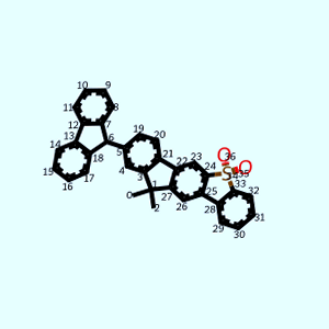 CC1(C)c2cc(C3c4ccccc4-c4ccccc43)ccc2-c2cc3c(cc21)-c1ccccc1S3(=O)=O